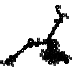 C#CCCCCCC(C)OCC(=O)NCCOCCOCCOCCOCCC(=O)N[C@H](CCCCCNC(=O)COC1CCCCCc2c1nnn2CCOCCOCCOCCOCCC(=O)NCC[N+](C)(C)C)C(=O)N[C@H](C(=O)N[C@@H](C)C(=O)N(C)[C@H](C(=O)N[C@H](C(=O)N(C)[C@@H]([C@@H](C)CC)[C@@H](CC(=O)N1CCC[C@H]1[C@H](OC)[C@@H](C)C(=O)N[C@H](C)[C@@H](O)c1ccccc1)OC)C(C)C)C(C)C)C(C)C